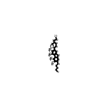 CCCCCc1cc2c(c(F)c1F)-c1c(cc(C3CCC(CCC)CO3)c(F)c1F)C2